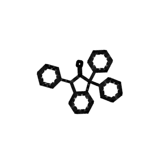 O=C1C(c2ccccc2)c2ccccc2C1(c1ccccc1)c1ccccc1